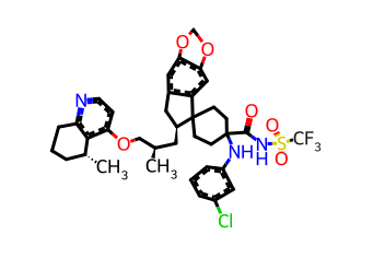 C[C@@H](COc1ccnc2c1[C@H](C)CCC2)C[C@H]1Cc2cc3c(cc2C12CCC(Nc1cccc(Cl)c1)(C(=O)NS(=O)(=O)C(F)(F)F)CC2)OCO3